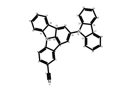 N#Cc1ccc2c(c1)c1cc(-n3c4ccccc4c4ccccc43)cc3c4ccccc4n2c31